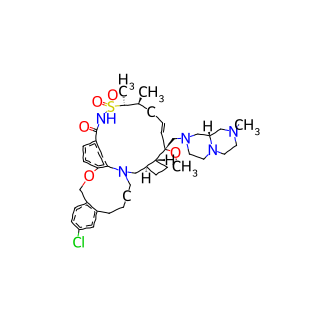 CO[C@@]1(CN2CCN3CCN(C)C[C@H]3C2)/C=C/C[C@H](C)[C@@H](C)S(=O)(=O)NC(=O)c2ccc3c(c2)N(CCCCc2cc(Cl)ccc2CO3)C[C@@H]2CC[C@H]21